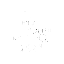 Bc1cnc(Nc2ccc(C(=O)N3CCN(C)CC3)cc2)nc1N[C@@H]1CCC[C@@H]1C(=O)NCCF